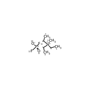 CC[N+](C)(CC)CC.O=P([O-])(F)F